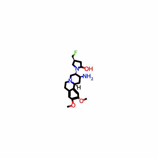 COc1cc2c(cc1OC)[C@@H]1C[C@H](N)[C@@H](N3C[C@@H](CF)CC3O)CN1CC2